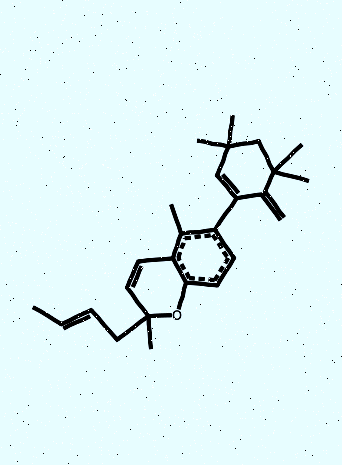 C=C1C(c2ccc3c(c2C)C=CC(C)(CC=CC)O3)=CC(C)(C)CC1(C)C